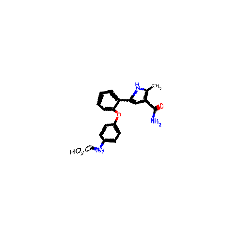 Cc1[nH]c(-c2ccccc2Oc2ccc(NC(=O)O)cc2)cc1C(N)=O